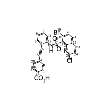 O=C(O)c1ccc(C#Cc2ccccc2NS(=O)(=O)c2c(Br)ccc3ccc(Cl)nc23)cn1